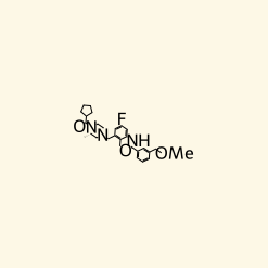 COCc1cccc(C(=O)Nc2cc(F)cc(CN3CCN(C(=O)C4CCCC4)[C@@H](C)C3)c2C)c1